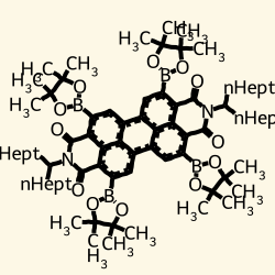 CCCCCCCC(CCCCCCC)N1C(=O)c2c(B3OC(C)(C)C(C)(C)O3)cc3c4cc(B5OC(C)(C)C(C)(C)O5)c5c6c(c(B7OC(C)(C)C(C)(C)O7)cc(c7cc(B8OC(C)(C)C(C)(C)O8)c(c2c37)C1=O)c64)C(=O)N(C(CCCCCCC)CCCCCCC)C5=O